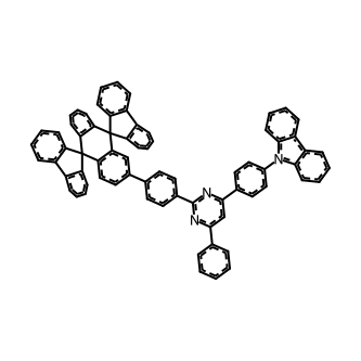 c1ccc(-c2cc(-c3ccc(-n4c5ccccc5c5ccccc54)cc3)nc(-c3ccc(-c4ccc5c(c4)C4(c6ccccc6-c6ccccc64)c4ccccc4C54c5ccccc5-c5ccccc54)cc3)n2)cc1